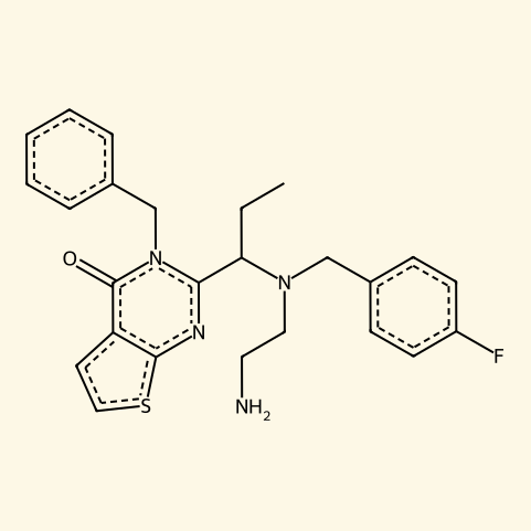 CCC(c1nc2sccc2c(=O)n1Cc1ccccc1)N(CCN)Cc1ccc(F)cc1